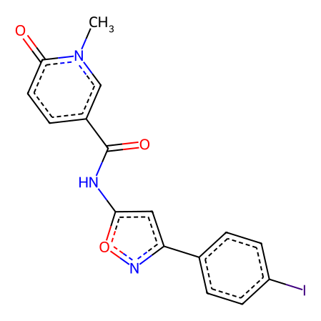 Cn1cc(C(=O)Nc2cc(-c3ccc(I)cc3)no2)ccc1=O